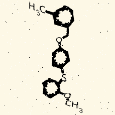 COc1ccccc1Sc1ccc(OCc2cccc(C)c2)cc1